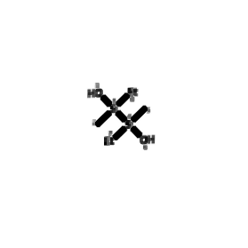 CC[Si](C)(O)[Si](C)(O)CC